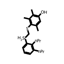 CCCc1cccc([SiH2]CSc2c(C)cc(O)c(C)c2C)c1CCC